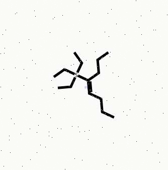 CCC/C=C(\CCC)S(CC)(CC)CC